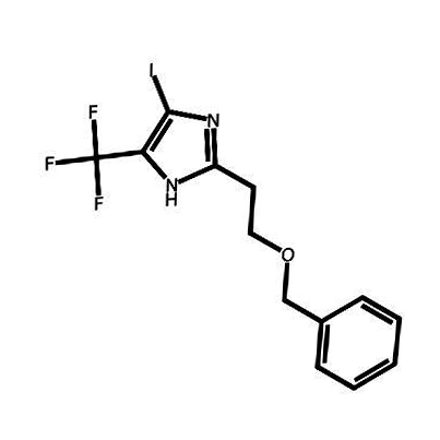 FC(F)(F)c1[nH]c(CCOCc2ccccc2)nc1I